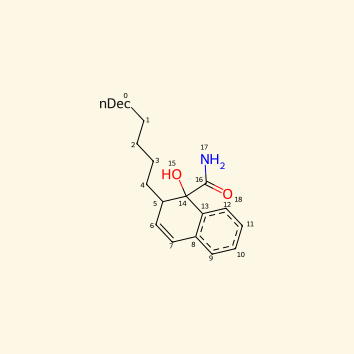 CCCCCCCCCCCCCCC1C=Cc2ccccc2C1(O)C(N)=O